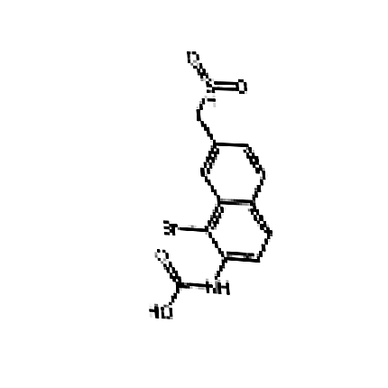 O=C(O)Nc1ccc2ccc(C[SH](=O)=O)cc2c1Br